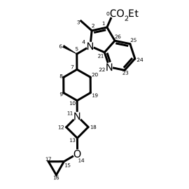 CCOC(=O)c1c(C)n([C@H](C)C2CCC(N3CC(OC4CC4)C3)CC2)c2ncccc12